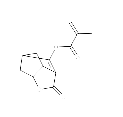 C=C(C)C(=O)OC1=C2C(=O)OC3CC1CC23